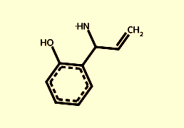 C=CC([NH])c1ccccc1O